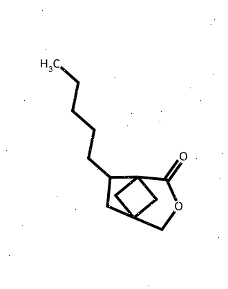 CCCCCC1CC23COC(=O)C1(C2)C3